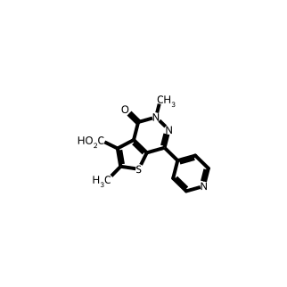 Cc1sc2c(-c3ccncc3)nn(C)c(=O)c2c1C(=O)O